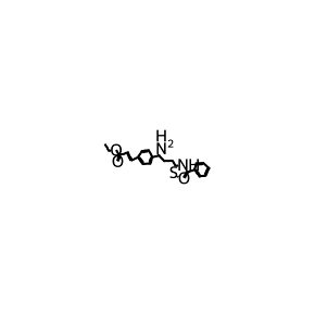 CCOC(=O)C=Cc1ccc(C(N)CCC(NC(=O)c2ccccc2)SC)cc1